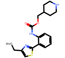 COCc1csc(-c2ccccc2NC(=O)OCC2CCNCC2)n1